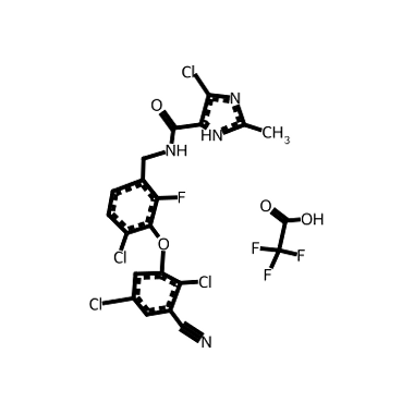 Cc1nc(Cl)c(C(=O)NCc2ccc(Cl)c(Oc3cc(Cl)cc(C#N)c3Cl)c2F)[nH]1.O=C(O)C(F)(F)F